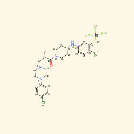 CC(CN1CCN(c2ccc(Cl)cc2)CC1)C(=O)N1CCC(Nc2ccc(Cl)c(SC(F)(F)F)c2)CC1